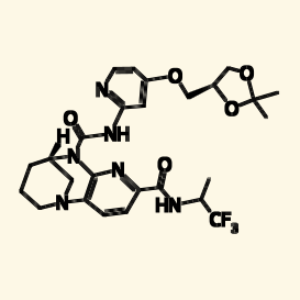 CC(NC(=O)c1ccc2c(n1)N(C(=O)Nc1cc(OC[C@H]3COC(C)(C)O3)ccn1)[C@H]1CCCN2C1)C(F)(F)F